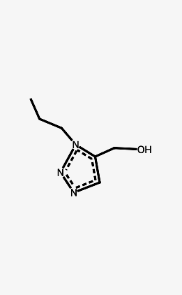 CCCn1nncc1CO